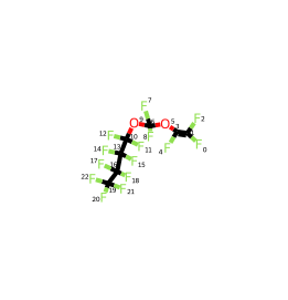 FC(F)=C(F)OC(F)(F)OC(F)(F)C(F)(F)C(F)(F)C(F)(F)F